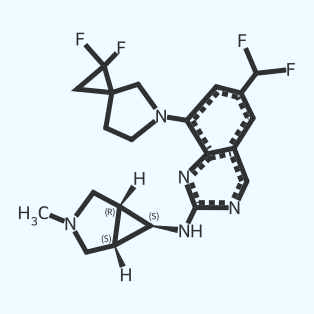 CN1C[C@@H]2[C@H](C1)[C@H]2Nc1ncc2cc(C(F)F)cc(N3CCC4(C3)CC4(F)F)c2n1